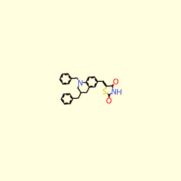 O=C1NC(=O)C(=Cc2ccc3c(c2)CC(Cc2ccccc2)CN3Cc2ccccc2)S1